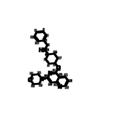 c1ccc(CNC2CCC(Oc3nc(N4CCOCC4)cc4ncccc34)CC2)cc1